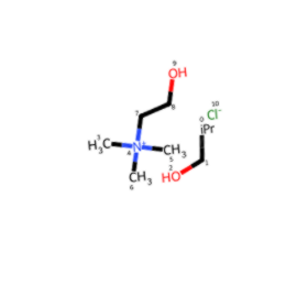 CC(C)CO.C[N+](C)(C)CCO.[Cl-]